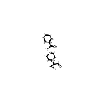 O=CC1(N2CCN(OC(=O)c3ccccc3)CC2)CC1